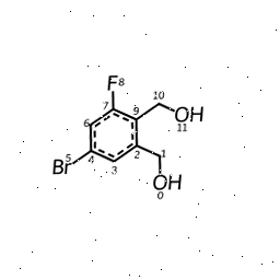 OCc1cc(Br)cc(F)c1CO